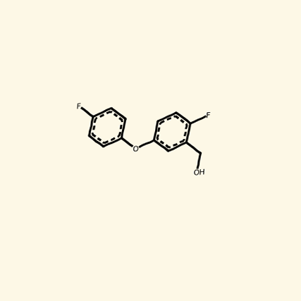 OCc1cc(Oc2ccc(F)cc2)ccc1F